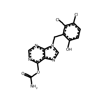 NC(=O)Oc1ncnc2c1ncn2Cc1c(O)ccc(Cl)c1Cl